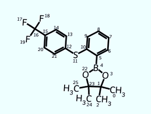 CC1(C)OB(c2ccccc2Sc2ccc(C(F)(F)F)cc2)OC1(C)C